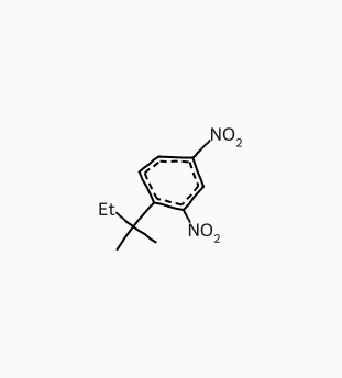 CCC(C)(C)c1ccc([N+](=O)[O-])cc1[N+](=O)[O-]